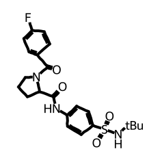 CC(C)(C)NS(=O)(=O)c1ccc(NC(=O)C2CCCN2C(=O)c2ccc(F)cc2)cc1